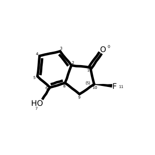 O=C1c2cccc(O)c2C[C@@H]1F